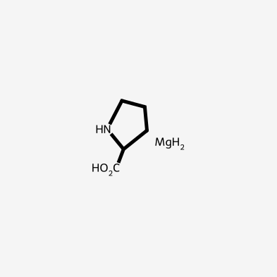 O=C(O)C1CCCN1.[MgH2]